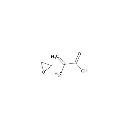 C1CO1.C=C(C)C(=O)O